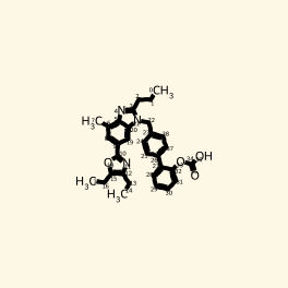 CCCc1nc2c(C)cc(-c3nc(CC)c(CC)o3)cc2n1Cc1ccc(-c2ccccc2OC(=O)O)cc1